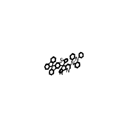 c1ccc(N2c3ccccc3N(c3cnc4c(c3)C3(c5ccccc5Sc5cc6c(cc53)-c3ccccc3C63c5ccccc5-c5ccccc53)c3cccnc3-4)c3ccccc32)cc1